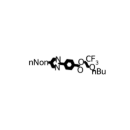 CCCCCCCCCc1cnc(-c2ccc(C(=O)OC(COCCCC)C(F)(F)F)cc2)nc1